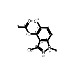 CC(=O)Oc1c(Cl)ccc2c1c(Cl)nn2C